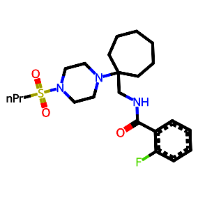 CCCS(=O)(=O)N1CCN(C2(CNC(=O)c3ccccc3F)CCCCCC2)CC1